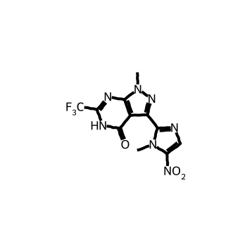 Cn1c([N+](=O)[O-])cnc1-c1nn(C)c2nc(C(F)(F)F)[nH]c(=O)c12